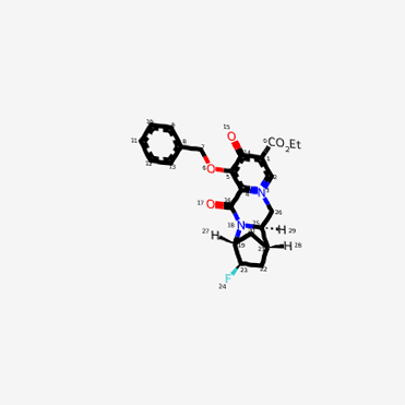 CCOC(=O)c1cn2c(c(OCc3ccccc3)c1=O)C(=O)N1[C@@H]3C[C@@H](C[C@H]3F)[C@@H]1C2